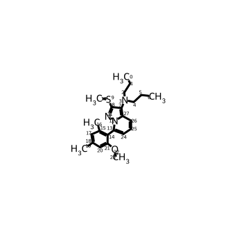 CCCN(CCC)c1c(SC)nn2c(-c3c(C)cc(C)cc3OC)cccc12